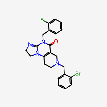 O=C1C2=C(CCN(Cc3ccccc3Br)C2)N2CCN=C2N1Cc1ccccc1F